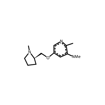 CNc1cc(OC[C@H]2CCCN2C)cnc1C